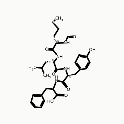 CSCC[C@H](NC=O)C(=O)N[C@@H](CC(C)C)C(=O)N[C@@H](Cc1ccc(O)cc1)C(=O)NC(Cc1ccccc1)C(=O)O